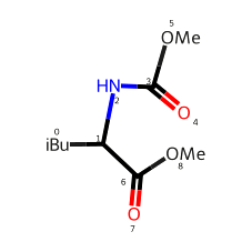 CCC(C)C(NC(=O)OC)C(=O)OC